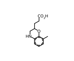 Cc1cccc2c1OC(CCC(=O)O)CN2